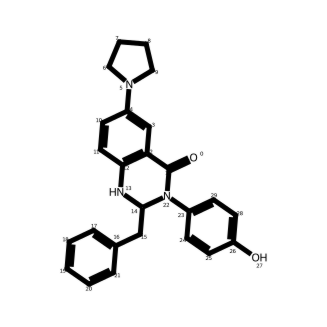 O=C1c2cc(N3CCCC3)ccc2NC(Cc2ccccc2)N1c1ccc(O)cc1